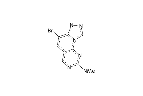 CNc1ncc2cc(Br)c3nncn3c2n1